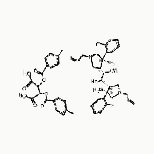 C=CCN1C[C@@H](C(O)C(O)[C@@H]2CN(CC=C)C[C@@]2(N)c2ccccc2F)[C@](N)(c2ccccc2F)C1.Cc1ccc(C(=O)OC(C(=O)O)C(OC(=O)c2ccc(C)cc2)C(=O)O)cc1